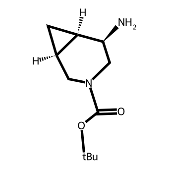 CC(C)(C)OC(=O)N1C[C@H]2C[C@H]2[C@@H](N)C1